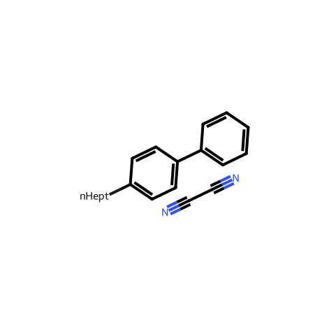 CCCCCCCc1ccc(-c2ccccc2)cc1.N#CC#N